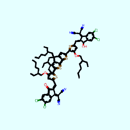 CCCCC(CC)COc1cc(/C=C2\C(=O)c3cc(Cl)c(Cl)cc3C2=C(C#N)C#N)sc1-c1cc2c(s1)-c1sc(-c3sc(/C=C4/C(=C(C#N)C#N)c5cc(Cl)c(Cl)cc5C4O)cc3OCC(CC)CCCC)cc1C2(CC(CC)CCCC)CC(CC)CCCC